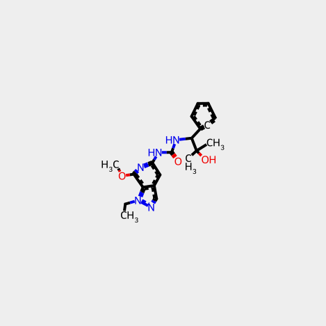 CCn1ncc2cc(NC(=O)NC(c3ccccc3)C(C)(C)O)nc(OC)c21